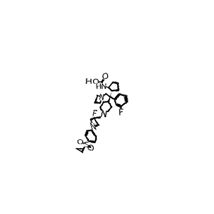 O=C(O)N[C@H]1CCC[C@@H]1C(CN1CCC1)(c1cccc(F)c1)C1CCN(CC2(F)CN(c3ccc(S(=O)(=O)C4CC4)cc3)C2)CC1